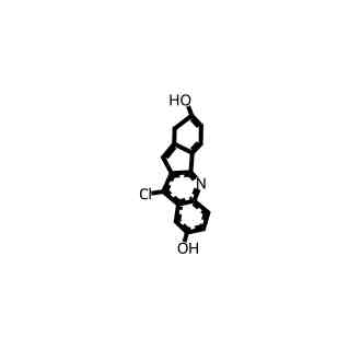 OC1=CC=C2C(=Cc3c2nc2ccc(O)cc2c3Cl)C1